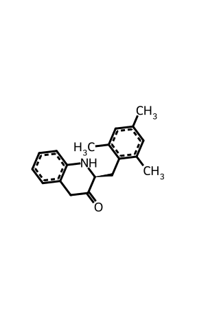 Cc1cc(C)c(C[C@@H]2Nc3ccccc3CC2=O)c(C)c1